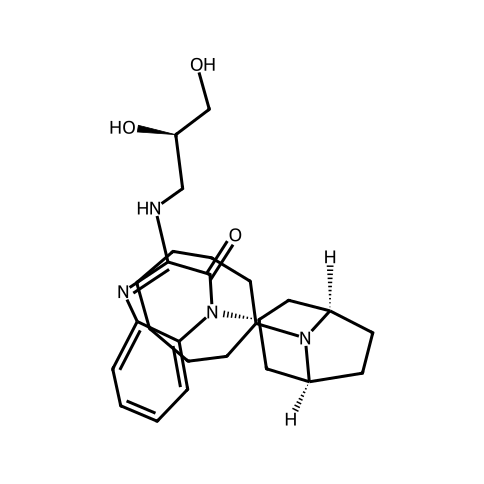 O=c1c(NC[C@@H](O)CO)nc2ccccc2n1[C@@H]1C[C@H]2CC[C@@H](C1)N2C1CCCCCCC1